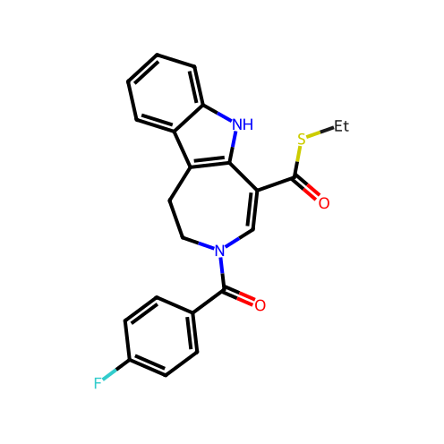 CCSC(=O)C1=CN(C(=O)c2ccc(F)cc2)CCc2c1[nH]c1ccccc21